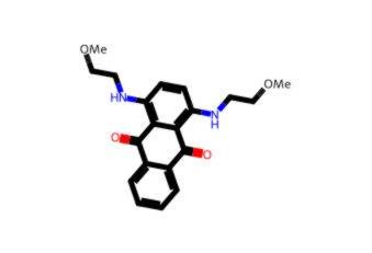 COCCNc1ccc(NCCOC)c2c1C(=O)c1ccccc1C2=O